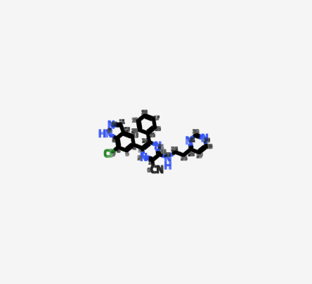 N#Cc1nc(-c2cc(Cl)c3[nH]ncc3c2)c(-c2ccccc2)nc1NCCc1ccncn1